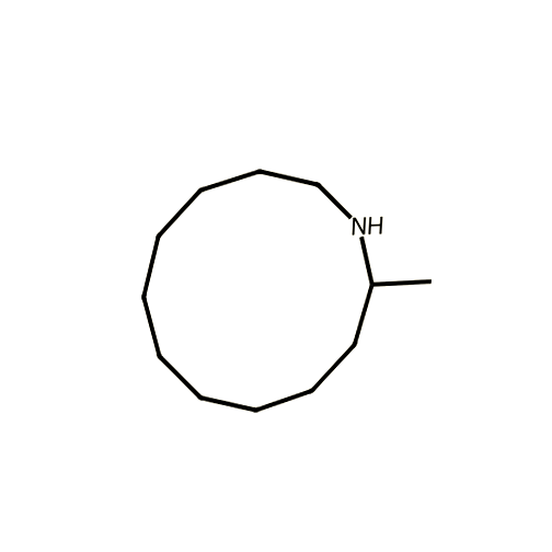 CC1CCCCCCCCCCN1